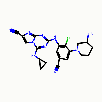 N#Cc1cc(Nc2nc(NC3CC3)n3cc(C#N)nc3n2)c(Cl)c(N2CCCC(N)C2)c1